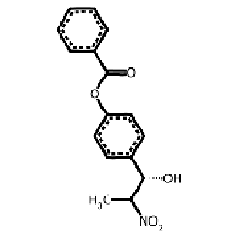 CC([C@@H](O)c1ccc(OC(=O)c2ccccc2)cc1)[N+](=O)[O-]